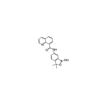 CC1(C)OB(O)c2cc(NC(=O)c3cccc4cccnc34)ccc21